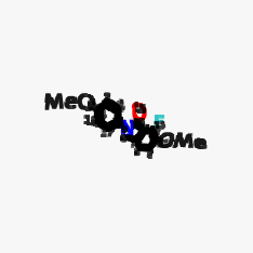 COc1ccc(N2Cc3ccc(OC)c(F)c3C2=O)cc1